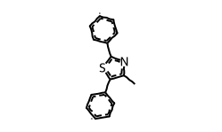 Cc1nc(-c2cc[c]cc2)sc1-c1cc[c]cc1